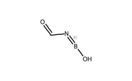 O=C/N=B/O